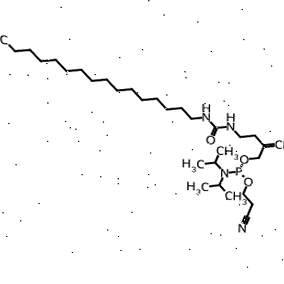 C=C(CCNC(=O)NCCCCCCCCCCCCCCCC)COP(OCCC#N)N(C(C)C)C(C)C